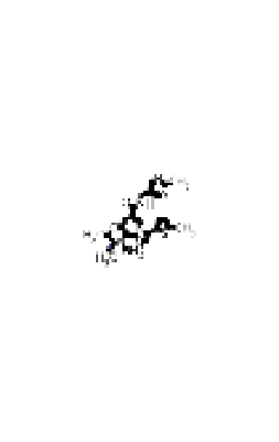 C/C=C(/C(C)C)N(N)C1=C=CC(C(=O)NCc2cnc(C)nc2)=Cn2c(-c3ccc(C)s3)cnc21